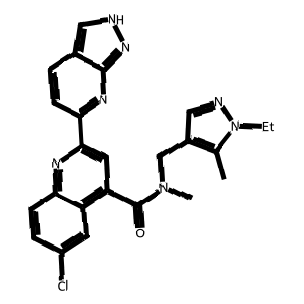 CCn1ncc(CN(C)C(=O)c2cc(-c3ccc4c[nH]nc4n3)nc3ccc(Cl)cc23)c1C